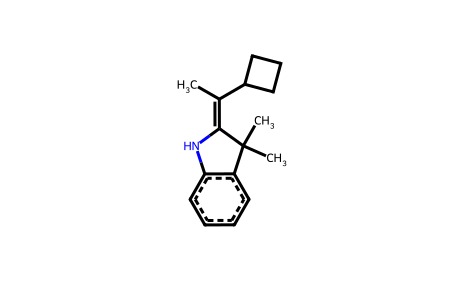 CC(=C1Nc2ccccc2C1(C)C)C1CCC1